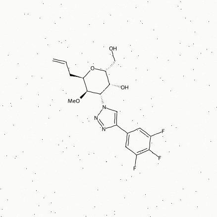 C=CC[C@H]1O[C@H](CO)[C@H](O)[C@H](n2cc(-c3cc(F)c(F)c(F)c3)nn2)[C@H]1OC